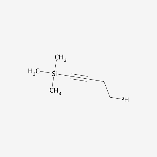 [2H]CCC#C[Si](C)(C)C